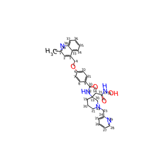 Cc1cc(COc2ccc(C(=O)NC3(CC(=O)NO)CCCN(Cc4ccccn4)C3)cc2)c2ccccc2n1